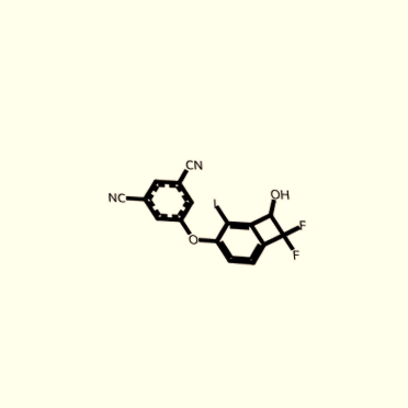 N#Cc1cc(C#N)cc(OC2=C=C=C3C(=C2I)C(O)C3(F)F)c1